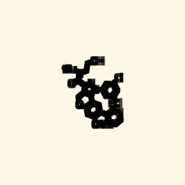 COc1cc2c(cc1-c1cccnc1F)-c1c(c(C(=O)N(CCO)C(C)(C)C)nn1-c1cc(Cl)cc(Cl)c1)CO2